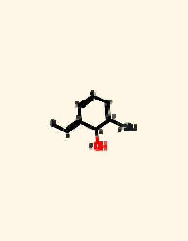 CC=C1C=CC=C(C(C)(C)C)C1O